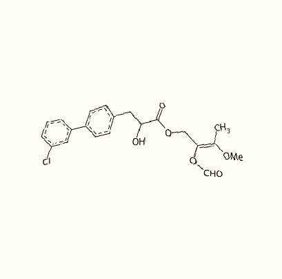 CO/C(C)=C(/COC(=O)C(O)Cc1ccc(-c2cccc(Cl)c2)cc1)OC=O